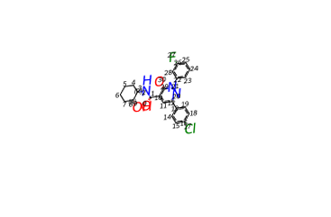 O=C(N[C@@H]1CCCC[C@H]1O)c1cc(-c2ccc(Cl)cc2)nn(-c2cccc(F)c2)c1=O